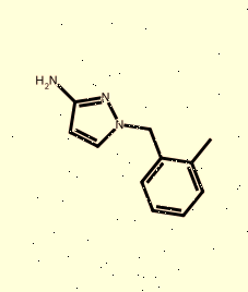 Cc1ccccc1Cn1ccc(N)n1